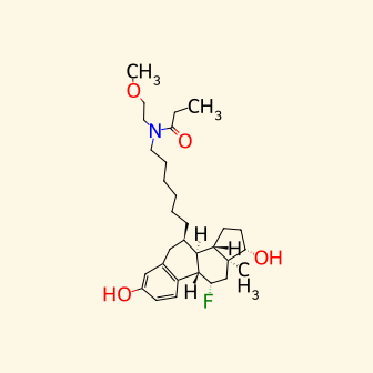 CCC(=O)N(CCCCCC[C@@H]1Cc2cc(O)ccc2[C@@H]2[C@@H]1[C@@H]1CC[C@H](O)[C@@]1(C)C[C@@H]2F)CCOC